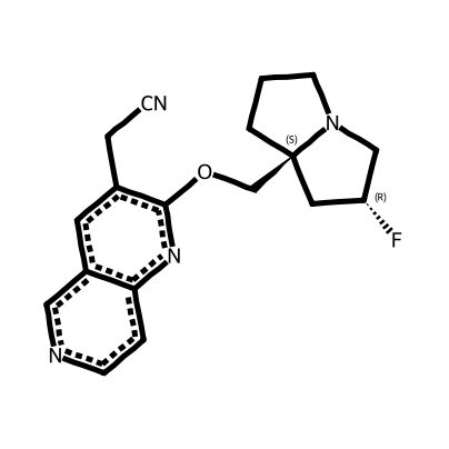 N#CCc1cc2cnccc2nc1OC[C@@]12CCCN1C[C@H](F)C2